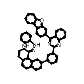 N=C1C=Cc2ccc3ccc(-c4cccc(-c5nc(-c6ccc7c(c6)oc6ccccc67)c6ccccc6n5)c4)cc3c2/C1=N/Nc1ccccc1